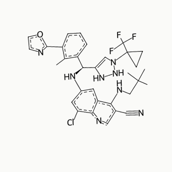 Cc1c(-c2ncco2)cccc1[C@H](Nc1cc(Cl)c2ncc(C#N)c(NCC(C)(C)C)c2c1)C1=CN(C2(C(F)(F)F)CC2)NN1